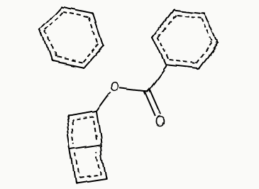 O=C(Oc1cc2ccc1-2)c1ccccc1.c1ccccc1